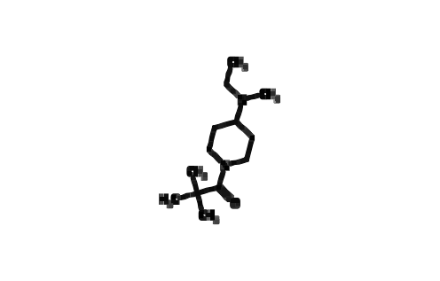 CCN(C)C1CCN(C(=O)C(C)(C)C)CC1